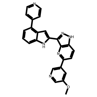 COc1cncc(-c2ccc3[nH]nc(-c4cc5c(-c6ccncc6)cccc5[nH]4)c3n2)c1